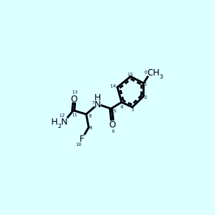 Cc1ccc(C(=O)NC(CF)C(N)=O)cc1